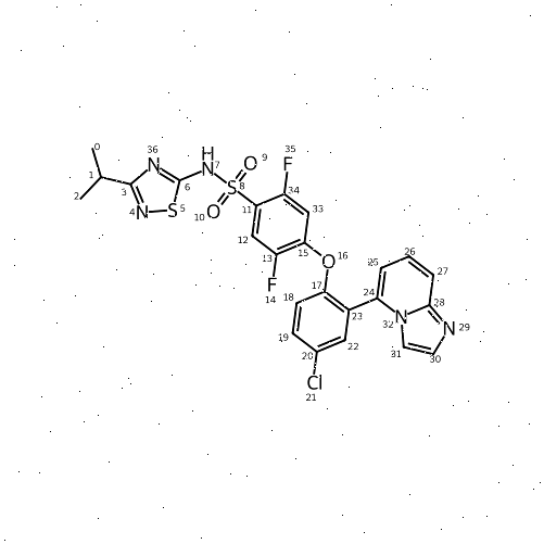 CC(C)c1nsc(NS(=O)(=O)c2cc(F)c(Oc3ccc(Cl)cc3-c3cccc4nccn34)cc2F)n1